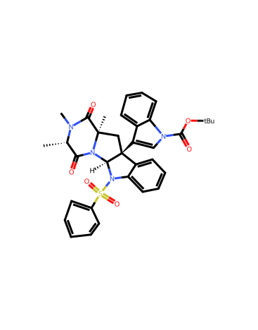 C[C@H]1C(=O)N2[C@@H]3N(S(=O)(=O)c4ccccc4)c4ccccc4[C@@]3(c3cn(C(=O)OC(C)(C)C)c4ccccc34)C[C@]2(C)C(=O)N1C